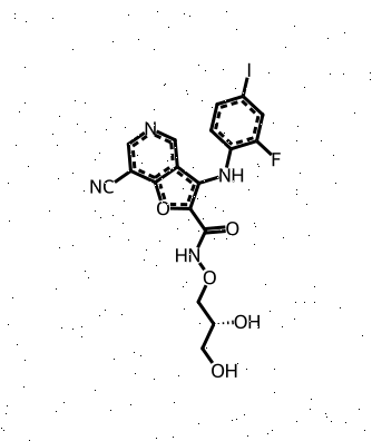 N#Cc1cncc2c(Nc3ccc(I)cc3F)c(C(=O)NOC[C@H](O)CO)oc12